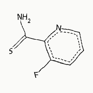 NC(=S)c1ncccc1F